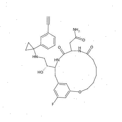 C#Cc1cccc(C2(NC[C@@H](O)C3Cc4cc(F)cc(c4)OCCCCCC(=O)NC(CC(N)=O)C(=O)N3)CC2)c1